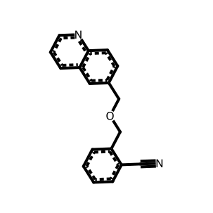 N#Cc1ccccc1COCc1ccc2ncccc2c1